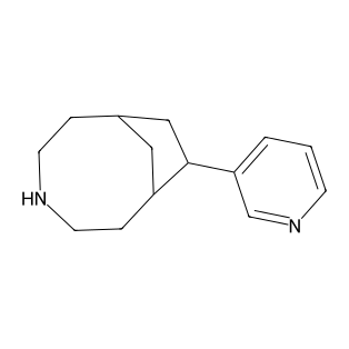 c1cncc(C2CC3CCNCCC2C3)c1